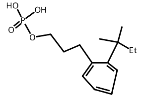 CCC(C)(C)c1ccccc1CCCOP(=O)(O)O